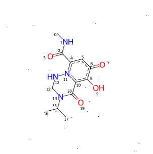 CNC(=O)c1cc(=O)c(O)c2n1NCN(C(C)C)C2=O